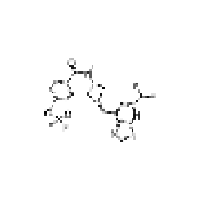 CN(C(=O)c1ccc2c(c1)OC(F)(F)O2)C1CC(=Cc2cc(C(F)F)nc3ncnn23)C1